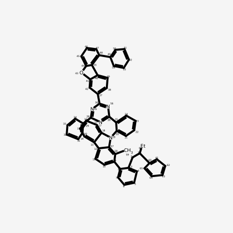 CCC(Cc1ccccc1-c1ccc2c3ccccc3n(-c3ccccc3-c3nc(-c4ccccc4)nc(-c4ccc5c(c4)oc4cccc(-c6ccccc6)c45)n3)c2c1C)c1ccccc1